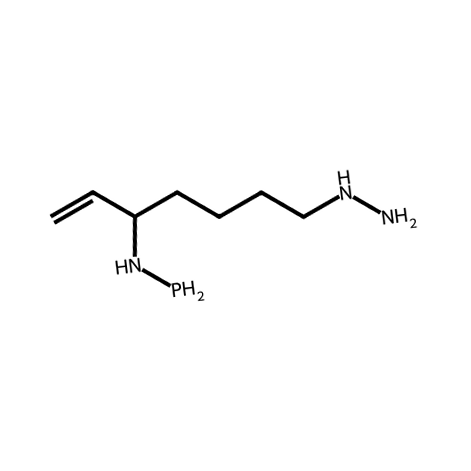 C=CC(CCCCNN)NP